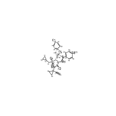 N#CC1(NC(=O)C(CS(=O)(=O)CC2CC2)N[C@H](c2ccc(F)cc2)C(F)(F)Sc2ccc(F)cc2)CC1